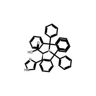 O=C(O)[C@H](Cc1c[nH]cn1)N(C(c1ccccc1)(c1ccccc1)c1ccccc1)C(c1ccccc1)(c1ccccc1)c1ccccc1